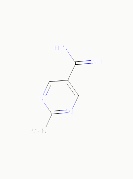 CNc1ncc(C(=N)N)cn1